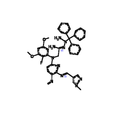 C=Nc1ccc(N(C/C(N)=N/N(N)C(c2ccccc2)(c2ccccc2)c2ccccc2)c2cc(OC)cc(OC)c2F)nc1/N=C/c1cnn(C)c1